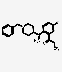 NN(c1ccc(F)cc1C(=O)CC(F)(F)F)C1CCN(Cc2ccccc2)CC1